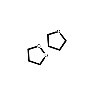 C1CCOC1.C1COOC1